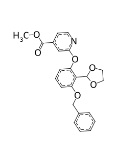 COC(=O)c1ccnc(Oc2cccc(OCc3ccccc3)c2C2OCCO2)c1